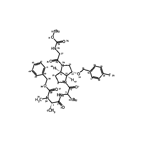 C[C@@H](C(=O)NC(C(=O)N1CC[C@@H]2[C@H]1[C@@H](OCc1ccc(F)cc1)CN2C(=O)CNC(=O)OC(C)(C)C)C(C)(C)C)N(C)C(=O)OCc1ccccc1